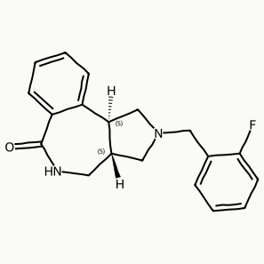 O=C1NC[C@H]2CN(Cc3ccccc3F)C[C@@H]2c2ccccc21